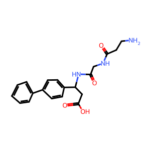 NCCC(=O)NCC(=O)NC(CC(=O)O)c1ccc(-c2ccccc2)cc1